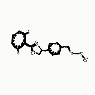 CCSSCc1ccc(C2COC(c3c(F)cccc3F)=N2)cc1